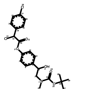 CN(CC(O)c1ccc(OC(=O)C(Cl)c2ccc(Cl)cc2)cc1)C(=O)OC(C)(C)C